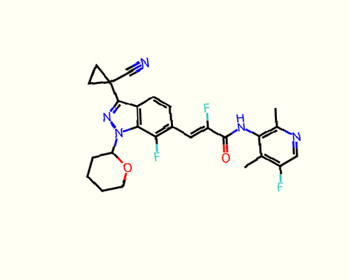 Cc1ncc(F)c(C)c1NC(=O)/C(F)=C/c1ccc2c(C3(C#N)CC3)nn(C3CCCCO3)c2c1F